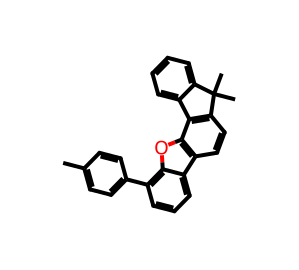 Cc1ccc(-c2cccc3c2oc2c4c(ccc23)C(C)(C)c2ccccc2-4)cc1